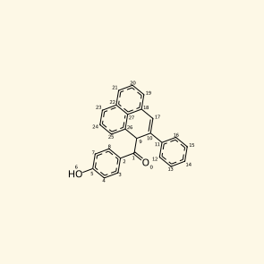 O=C(c1ccc(O)cc1)C1C(c2ccccc2)=Cc2cccc3cccc1c23